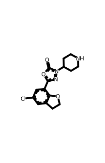 O=c1oc(-c2cc(Cl)cc3c2OCC3)nn1C1CCNCC1